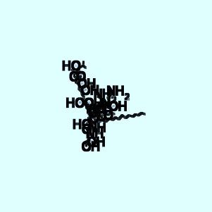 C/C=C/C=C/C=C/C=C/C=C/C=C/[C@@H](C[C@@H]1O[C@](O)(C[C@@H](O)C[C@@H](O)[C@H](O)CC[C@@H](O)C[C@@H](O)CC(=O)O[C@@H](C)[C@H](C)[C@H](O)C(C)C)C[C@H](O)[C@H]1NC(=O)NC[C@H](O)CO)O[C@@H]1O[C@H](C)[C@@H](O)[C@H](N(CCCN)CCCN)[C@@H]1O